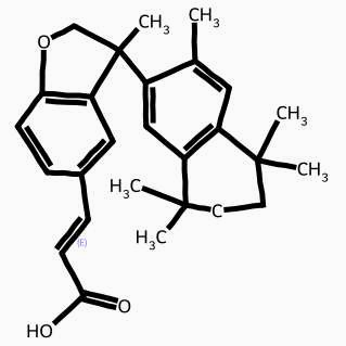 Cc1cc2c(cc1C1(C)COc3ccc(/C=C/C(=O)O)cc31)C(C)(C)CCC2(C)C